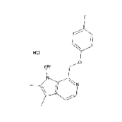 CCCn1c(C)c(C)c2ccnc(COc3ccc(F)cc3)c21.Cl